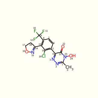 Cc1nnc(-c2ccc(C(F)(F)F)c(C3=NOCC3)c2Cl)c(=O)n1O